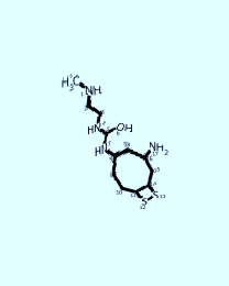 CNCCNC(O)NC1CCC2SSC2CC(N)C1